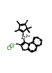 CC1=[C]([Zr+2][C]2=C(C)C(C)=C(C)C2(C)C)c2c(ccc3ccccc23)C1.[Cl-].[Cl-]